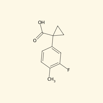 Cc1ccc(C2(C(=O)O)CC2)cc1F